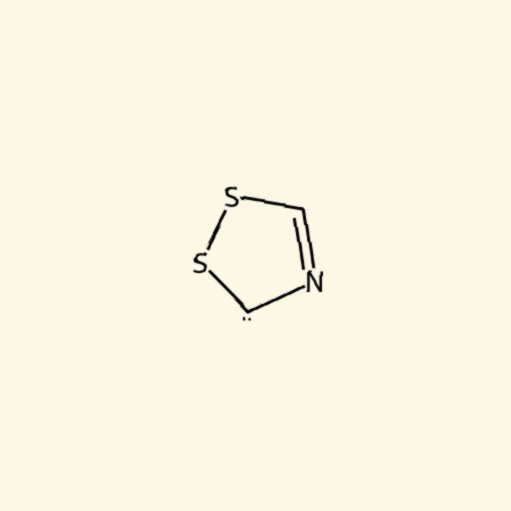 [C]1N=CSS1